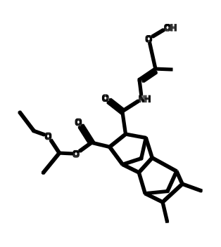 CCOC(C)OC(=O)C1C2CC(C1C(=O)N/C=C(\C)OO)C1C3CC(C(C)C3C)C21